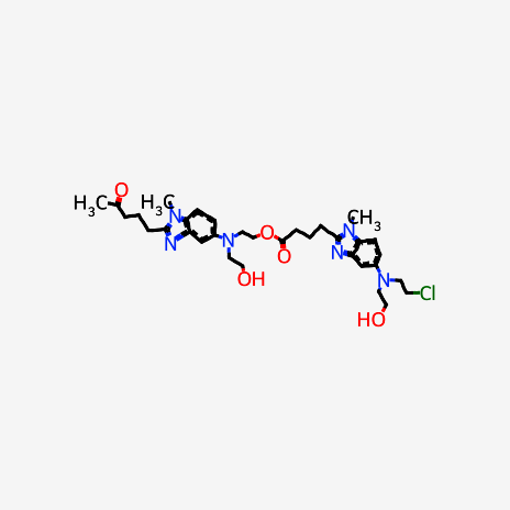 CC(=O)CCCc1nc2cc(N(CCO)CCOC(=O)CCCc3nc4cc(N(CCO)CCCl)ccc4n3C)ccc2n1C